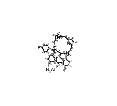 Fc1ccc(C2=CC3=CC4=NC(=CC5=NC(=CC6=NC(=C(c7ccc(F)cc7)C2=N3)C(c2ccc(F)cc2)=C6c2ccc(F)cc2)C=C5)C=C4)cc1.[AlH3]